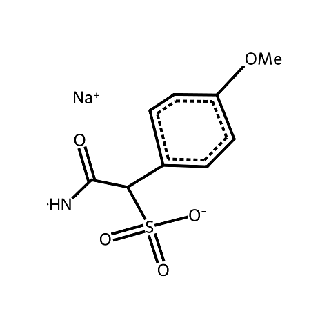 COc1ccc(C(C([NH])=O)S(=O)(=O)[O-])cc1.[Na+]